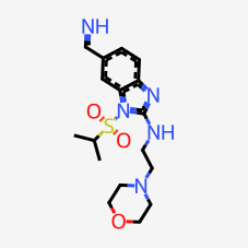 CC(C)S(=O)(=O)n1c(NCCN2CCOCC2)nc2ccc(C=N)cc21